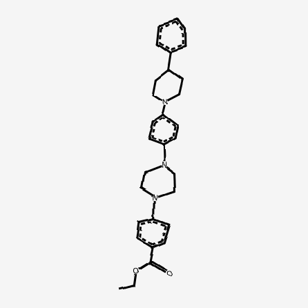 CCOC(=O)c1ccc(N2CCN(c3ccc(N4CCC(c5ccccc5)CC4)cc3)CC2)cc1